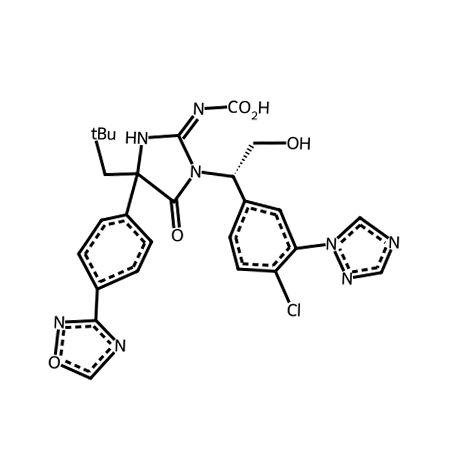 CC(C)(C)CC1(c2ccc(-c3ncon3)cc2)NC(=NC(=O)O)N([C@H](CO)c2ccc(Cl)c(-n3cncn3)c2)C1=O